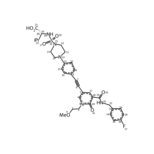 COCCn1cc(C#Cc2ccc(N3CCN(S(=O)(=O)N[C@@H](C(=O)O)C(C)C)CC3)cc2)cc(C(=O)NCc2ccc(F)cc2)c1=O